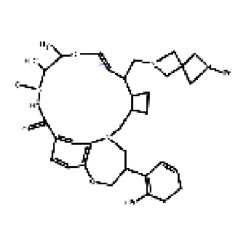 CCCC1=C(C2COc3ccc4cc3N(C2)CC2CCC2C(CN2CC3(C2)CN(C(C)C)C3)/C=C/CC(C)C(C)[S+]([O-])NC4=O)C=CCC1